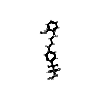 CCCNS(=O)(=O)C(C)(C)c1ccc(OCCOc2ccccc2OC)cc1